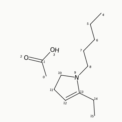 CC(=O)O.CCCCCN1CCC=C1CC